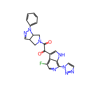 O=C(C(=O)N1CC2C=NN(c3ccccc3)C2C1)c1c[nH]c2c(-n3ccnn3)ncc(F)c12